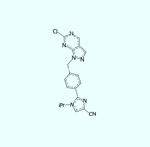 CC(C)n1cc(C#N)nc1-c1ccc(Cn2ncc3cnc(Cl)nc32)cc1